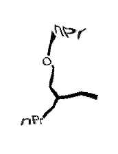 [CH2]CCC(C)OCCC